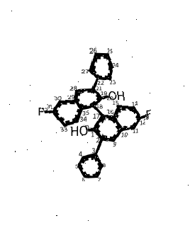 Oc1c(-c2ccccc2)cc2cc(F)ccc2c1-c1c(O)c(-c2ccccc2)cc2cc(F)ccc12